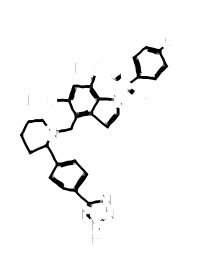 Cc1ccc(S(=O)(=O)n2ccc3c(CN4CCCCC4c4ccc(-c5nn[nH]n5)cc4)c(C)cc(C)c32)cc1